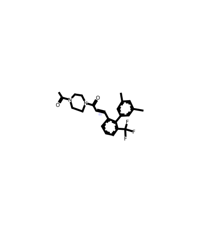 CC(=O)N1CCN(C(=O)/C=C/c2cc[c]c(C(F)(F)F)c2-c2cc(C)cc(C)c2)CC1